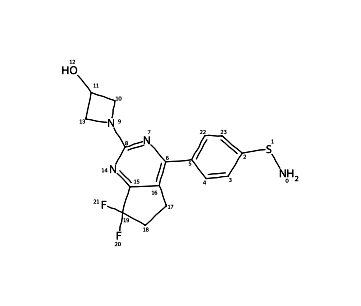 NSc1ccc(-c2nc(N3CC(O)C3)nc3c2CCC3(F)F)cc1